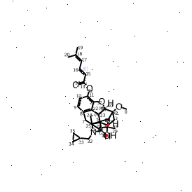 CO[C@@]12CCC34[C@H]5Cc6ccc(OC(=O)/C=C/C=C(C)C)c7c6[C@@]3(CC4([C@@H]1C(C)(C)O)N5CC1CC1)[C@H]2O7